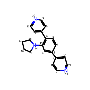 c1cc(-c2ccc(-c3ccncc3)c(N3CCCC3)c2)ccn1